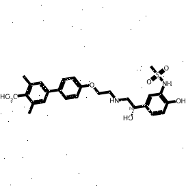 Cc1cc(-c2ccc(OCCNC[C@@H](O)c3ccc(O)c(NS(C)(=O)=O)c3)cc2)cc(C)c1C(=O)O